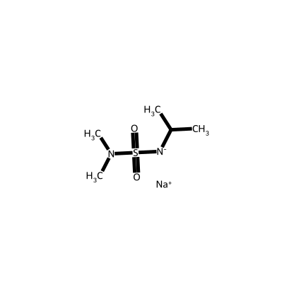 CC(C)[N-]S(=O)(=O)N(C)C.[Na+]